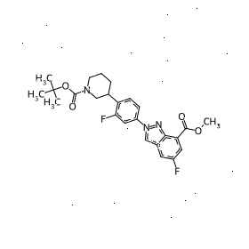 COC(=O)c1cc(F)cc2cn(-c3ccc(C4CCCN(C(=O)OC(C)(C)C)C4)c(F)c3)nc12